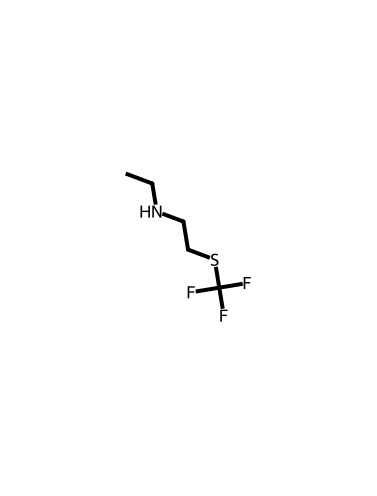 CCNCCSC(F)(F)F